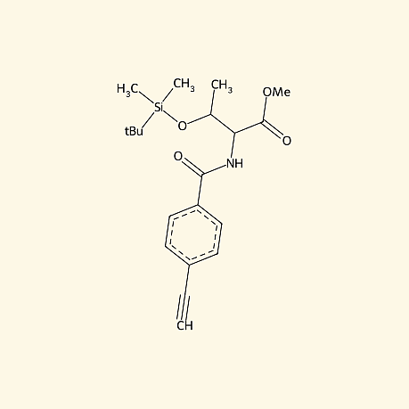 C#Cc1ccc(C(=O)NC(C(=O)OC)C(C)O[Si](C)(C)C(C)(C)C)cc1